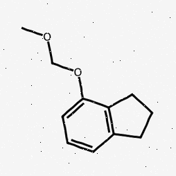 COCOc1cccc2c1CCC2